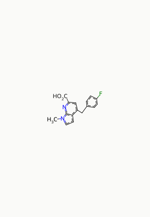 Cn1ccc2c(Cc3ccc(F)cc3)cc(C(=O)O)nc21